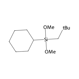 CO[Si](CC(C)(C)C)(OC)C1CCCCC1